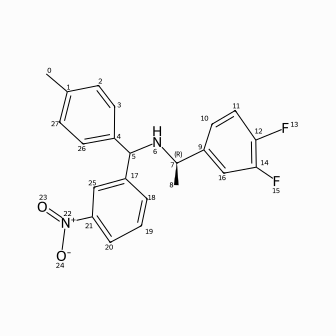 Cc1ccc(C(N[C@H](C)c2ccc(F)c(F)c2)c2cccc([N+](=O)[O-])c2)cc1